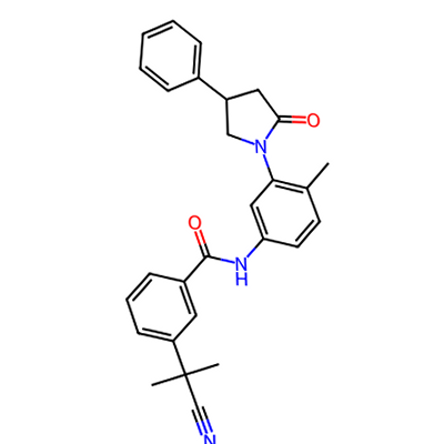 Cc1ccc(NC(=O)c2cccc(C(C)(C)C#N)c2)cc1N1CC(c2ccccc2)CC1=O